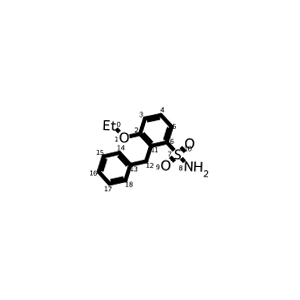 CCOc1cccc(S(N)(=O)=O)c1Cc1ccccc1